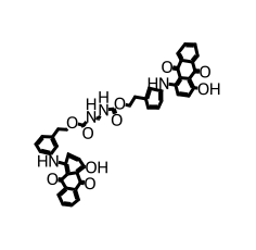 O=C(NCNC(=O)OCCc1cccc(Nc2ccc(O)c3c2C(=O)c2ccccc2C3=O)c1)OCCc1cccc(Nc2ccc(O)c3c2C(=O)c2ccccc2C3=O)c1